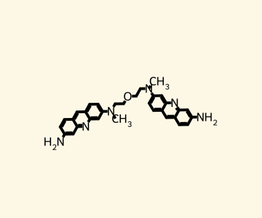 CN(CCOCCN(C)c1ccc2cc3ccc(N)cc3nc2c1)c1ccc2cc3ccc(N)cc3nc2c1